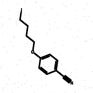 N#Cc1ccc(OCCCCI)cc1